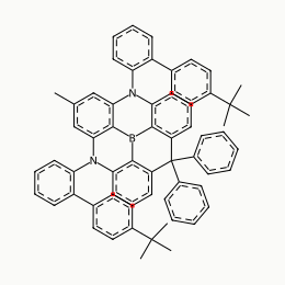 Cc1cc2c3c(c1)N(c1ccccc1-c1ccc(C(C)(C)C)cc1)c1cccc4c1B3c1c(cccc1C4(c1ccccc1)c1ccccc1)N2c1ccccc1-c1ccc(C(C)(C)C)cc1